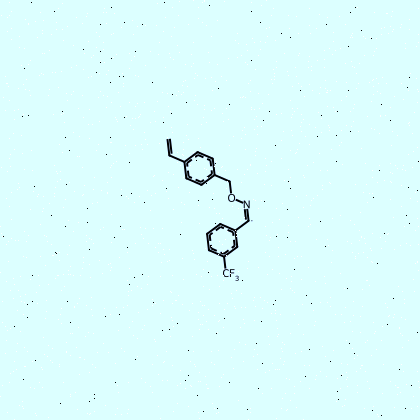 C=Cc1ccc(CO/N=[C]\c2cccc(C(F)(F)F)c2)cc1